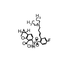 CCN(CC)CCC=Cc1cc(F)ccc1S(=O)(=O)Nc1ccc2c(c1C(=O)O)OC[C@@H]1C[C@H]21